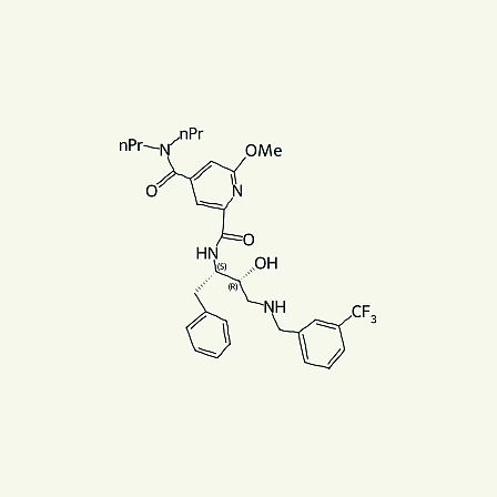 CCCN(CCC)C(=O)c1cc(OC)nc(C(=O)N[C@@H](Cc2ccccc2)[C@H](O)CNCc2cccc(C(F)(F)F)c2)c1